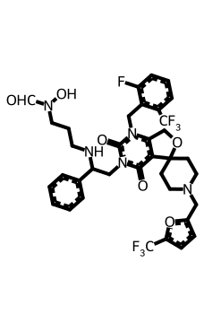 O=CN(O)CCCNC(Cn1c(=O)c2c(n(Cc3c(F)cccc3C(F)(F)F)c1=O)COC21CCN(Cc2ccc(C(F)(F)F)o2)CC1)c1ccccc1